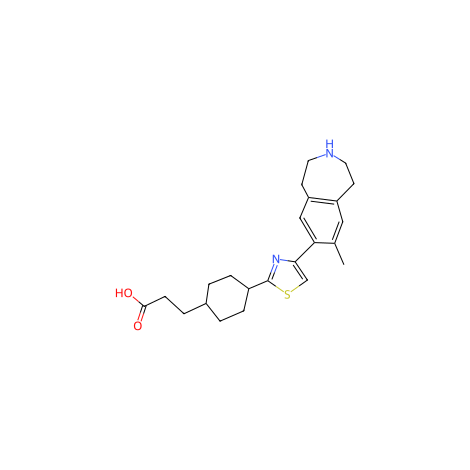 Cc1cc2c(cc1-c1csc(C3CCC(CCC(=O)O)CC3)n1)CCNCC2